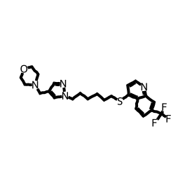 FC(F)(F)c1ccc2c(SCCCCCCn3cc(CN4CCOCC4)cn3)ccnc2c1